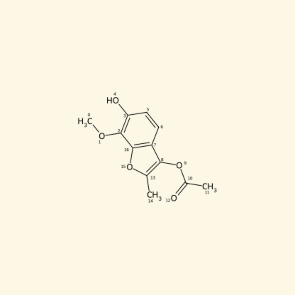 COc1c(O)ccc2c(OC(C)=O)c(C)oc12